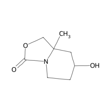 CC12COC(=O)N1CCC(O)C2